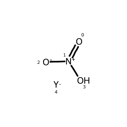 O=[N+]([O-])O.[Y]